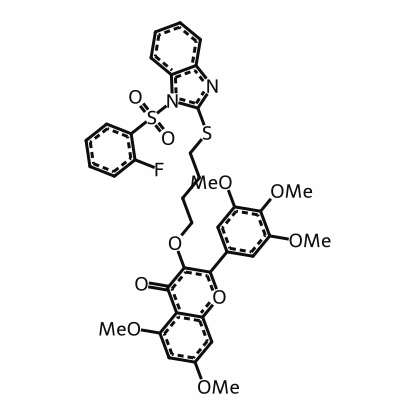 COc1cc(OC)c2c(=O)c(OCCCCSc3nc4ccccc4n3S(=O)(=O)c3ccccc3F)c(-c3cc(OC)c(OC)c(OC)c3)oc2c1